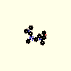 c1ccc(-c2nc(-c3cccc(-c4cccc5c4nc(-c4ccccc4)c4ccc6oc7ccccc7c6c45)c3)nc(-c3ccc4c(c3)c3ccccc3n4-c3ccccc3)n2)cc1